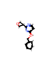 c1ccc(COc2ccnc(C3COC3)n2)cc1